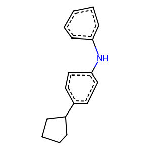 c1ccc(Nc2ccc(C3CCCC3)cc2)cc1